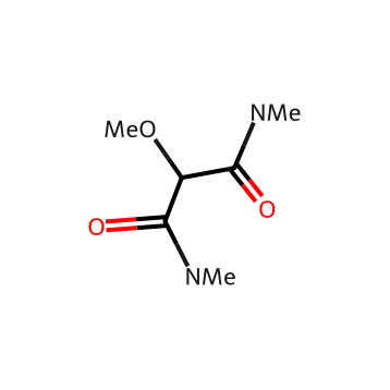 CNC(=O)C(OC)C(=O)NC